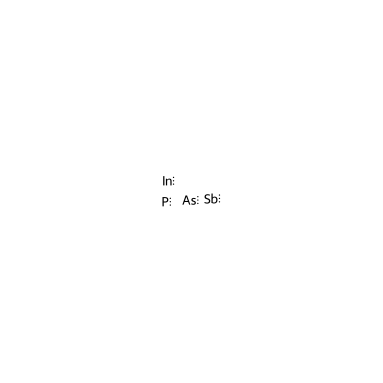 [As].[In].[P].[Sb]